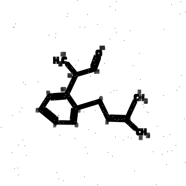 CC(C)=CCc1ccccc1C(C)C=O